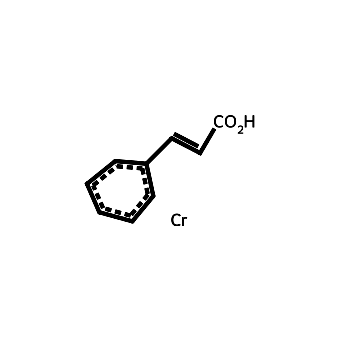 O=C(O)C=Cc1ccccc1.[Cr]